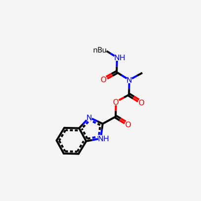 CCCCNC(=O)N(C)C(=O)OC(=O)c1nc2ccccc2[nH]1